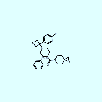 O=C([C@@H]1CCN(C2(c3ccc(F)cc3)COC2)C[C@H]1c1ccccc1)N1CCC2(CC1)CO2